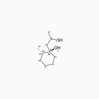 CC(S)C[C@]1(O)CCCC[C@@H]1C